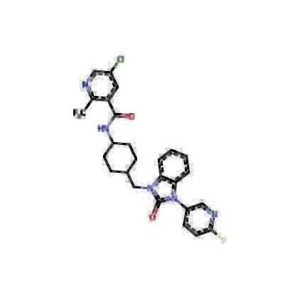 O=C(NC1CCC(Cn2c(=O)n(-c3ccc(F)nc3)c3ccccc32)CC1)c1cc(Cl)cnc1C(F)(F)F